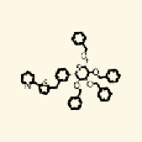 c1ccc(COC[C@H]2S[C@@H](c3cccc(Cc4ccc(-c5ccccn5)s4)c3)[C@H](OCc3ccccc3)[C@@H](OCc3ccccc3)[C@@H]2OCc2ccccc2)cc1